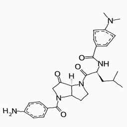 CC(C)C[C@H](NC(=O)c1ccc(N(C)C)cc1)C(=O)N1CCC2[C@H]1C(=O)CN2C(=O)c1ccc(N)cc1